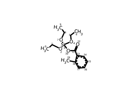 CCO[Si](OCC)(OCC)OC(=O)c1ccccc1C